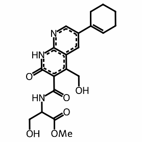 COC(=O)C(CO)NC(=O)c1c(CO)c2cc(C3=CCCCC3)cnc2[nH]c1=O